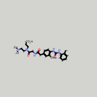 CCN(CC)CCN(CCC(=O)O)C(=O)CNC(=O)Cc1ccc(NC(=O)Nc2ccccc2C)c(OC)c1